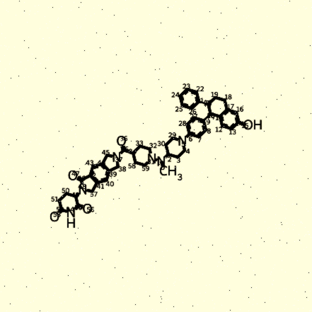 CN(C1CCN(c2ccc([C@@H]3c4ccc(O)cc4CC[C@@H]3c3ccccc3)cc2)CC1)N1CCC(C(=O)N2Cc3cc4c(cc3C2)C(=O)N(C2CCC(=O)NC2=O)C4)CC1